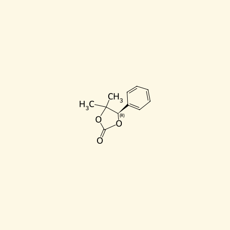 CC1(C)OC(=O)O[C@@H]1c1ccccc1